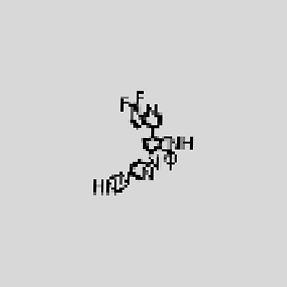 O=C1NCc2c(-c3ccnc4c3ccn4C(F)F)ccc(Nc3ccc(N4CCNCC4)cn3)c21